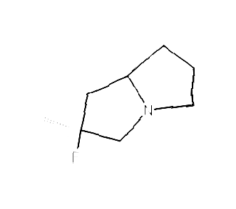 C[C@]1(F)CC2CCCN2C1